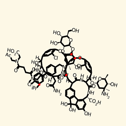 CC(=O)CN(CC(=O)O)C(=O)CCC(=O)N(C)[C@H](CC(C)C)C(=O)N[C@H]1C(=O)C[C@@H](CC(N)=O)C(=O)N[C@H]2C(=O)C[C@H]3C(=O)N[C@H](C(=O)N[C@H](C(=O)O)c4cc(O)cc5c4-c4cc3ccc4C5(O)O)[C@H](O[C@H]3C[C@](C)(N)[C@@H](O)[C@H](C)O3)c3ccc(c(Cl)c3)Oc3cc2cc(c3O[C@@H]2O[C@H](CO)[C@@H](O)[C@H](O)[C@H]2O[C@H]2C[C@](C)(NCc3ccc(-c4ccc(Cl)cc4)cc3)[C@@H](O)[C@H](C)O2)Oc2ccc(cc2Cl)[C@H]1O